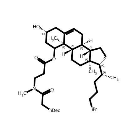 CCCCCCCCCCCC(=O)N(C)CCC(=O)OC1C[C@H](O)CC2=CC[C@H]3[C@@H]4CC[C@H]([C@H](C)CCCC(C)C)[C@@]4(C)CC[C@@H]3[C@]21C